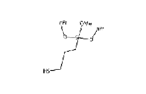 CCCO[Si](CCCS)(OC)OCCC